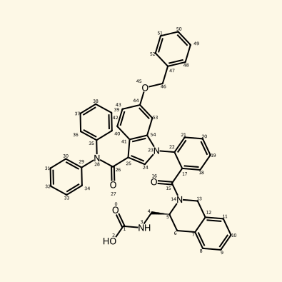 O=C(O)NC[C@@H]1Cc2ccccc2CN1C(=O)c1ccccc1-n1cc(C(=O)N(c2ccccc2)c2ccccc2)c2ccc(OCc3ccccc3)cc21